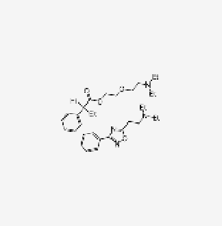 CCN(CC)CCOCCOC(=O)C(CC)(CC)c1ccccc1.CCN(CC)CCc1nc(-c2ccccc2)no1